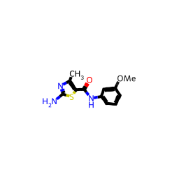 COc1cccc(NC(=O)c2sc(N)nc2C)c1